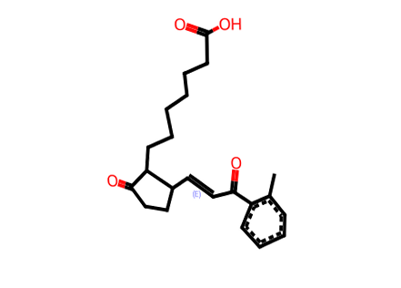 Cc1ccccc1C(=O)/C=C/C1CCC(=O)C1CCCCCCC(=O)O